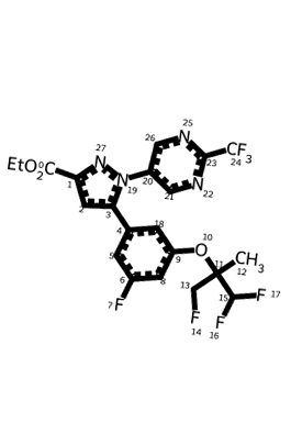 CCOC(=O)c1cc(-c2cc(F)cc(OC(C)(CF)C(F)F)c2)n(-c2cnc(C(F)(F)F)nc2)n1